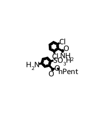 CCCCCOC(=O)c1cc(N)ccc1S(=O)(=O)O.NC(=O)c1c(Cl)cccc1Cl